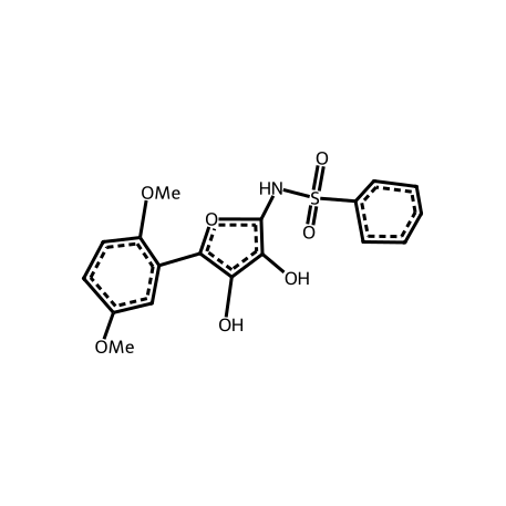 COc1ccc(OC)c(-c2oc(NS(=O)(=O)c3ccccc3)c(O)c2O)c1